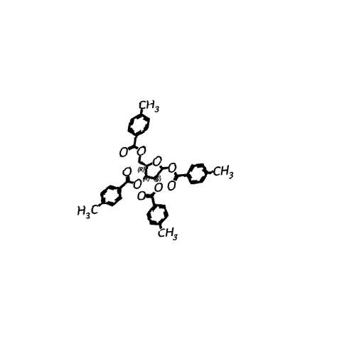 Cc1ccc(C(=O)OC[C@H]2OC(OC(=O)c3ccc(C)cc3)[C@H](OC(=O)c3ccc(C)cc3)[C@@H]2OC(=O)c2ccc(C)cc2)cc1